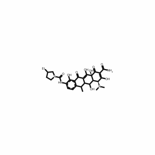 CCC1CCN(C(=O)Nc2ccc3c(c2O)C(=O)C2=C(O)[C@]4(O)C(=O)C(C(N)=O)=C(O)[C@@H](N(C)C)C4C(O)C2C3C)C1